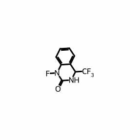 O=C1NC(C(F)(F)F)c2ccccc2N1F